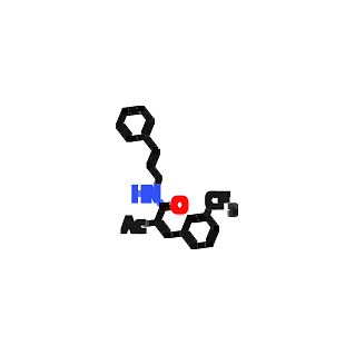 CC(=O)C(=Cc1cccc(C(F)(F)F)c1)C(=O)NCC=Cc1ccccc1